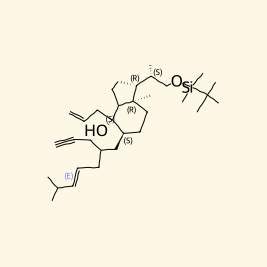 C#CCC(C/C=C/C(C)C)C[C@@H]1CC[C@@]2(C)C(CC[C@@H]2[C@H](C)CO[Si](C)(C)C(C)(C)C)[C@]1(O)CC=C